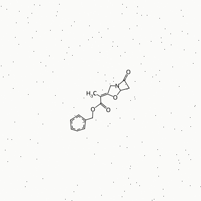 CC(C(=O)OCc1ccccc1)=C1CN2C(=O)CC2O1